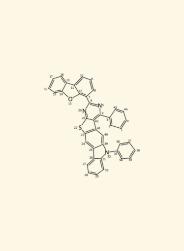 c1ccc(-c2nc(-c3cccc4c3oc3ccccc34)nc3sc4cc5c6ccccc6n(-c6ccccc6)c5cc4c23)cc1